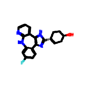 O[C@H]1CC[C@H](c2nc3c([nH]2)-c2cccnc2Nc2cc(F)ccc2-3)CC1